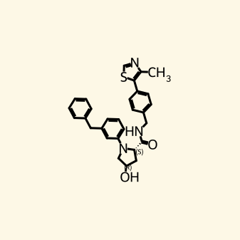 Cc1ncsc1-c1ccc(CNC(=O)[C@@H]2C[C@@H](O)CN2c2cccc(Cc3ccccc3)c2)cc1